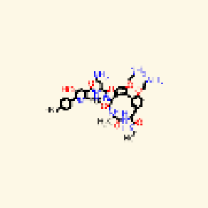 Cc1nc(-c2ccc(C(C)(C)C)cc2)c(O)cc1C(=O)NC(CCN)C(=O)N(C)C1C(=O)NC(C)C(=O)NC(C(=O)NCC#N)Cc2ccc(OCCN)c(c2)-c2cc1ccc2OCCN